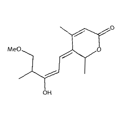 COCC(C)/C(O)=C\C=C1\C(C)=CC(=O)OC1C